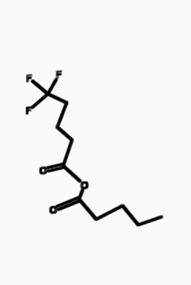 CCCCC(=O)OC(=O)CCCC(F)(F)F